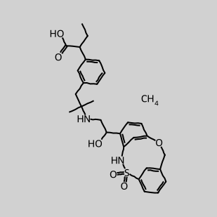 C.CCC(C(=O)O)c1cccc(CC(C)(C)NCC(O)c2ccc3cc2NS(=O)(=O)c2cccc(c2)CO3)c1